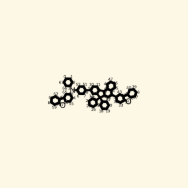 c1ccc(N(c2ccc(-c3ccc4c(c3)C(c3ccccc3)(c3ccccc3)c3cc(-c5ccc6oc7ccccc7c6c5)c5ccccc5c3-4)cc2)c2ccc3oc4ccccc4c3c2)cc1